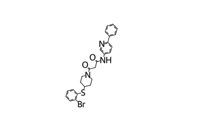 O=C(CC(=O)N1CCC(Sc2ccccc2Br)CC1)Nc1ccc(-c2ccccc2)nc1